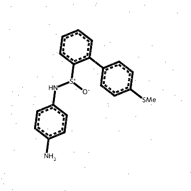 CSc1ccc(-c2ccccc2[S+]([O-])Nc2ccc(N)cc2)cc1